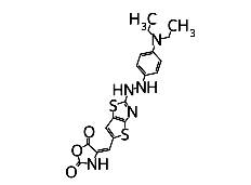 CCN(CC)c1ccc(NNc2nc3sc(/C=C4/NC(=O)OC4=O)cc3s2)cc1